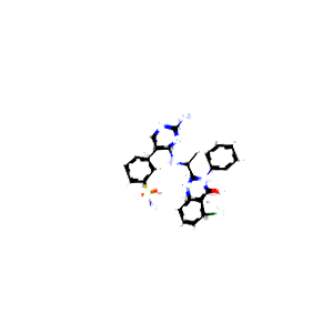 CC(Nc1nc(N)ncc1-c1cccc(S(N)(=O)=O)c1)c1nc2cccc(Cl)c2c(=O)n1-c1ccccc1